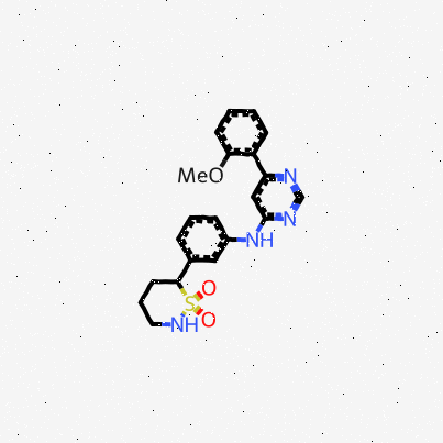 COc1ccccc1-c1cc(Nc2cccc(C3CCCNS3(=O)=O)c2)ncn1